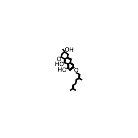 CC(C)=CCCC(C)=CCOc1cc(O)c2c(O)c3c(cc2c1)CC(C)(O)CC3=O